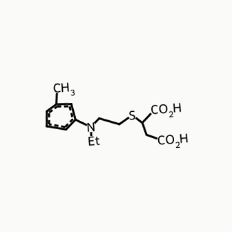 CCN(CCSC(CC(=O)O)C(=O)O)c1cccc(C)c1